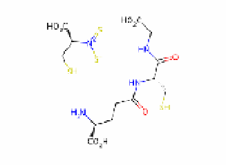 N[C@@H](CCC(=O)N[C@@H](CS)C(=O)NCC(=O)O)C(=O)O.O=C(O)[C@H](CS)[N+](=S)[S-]